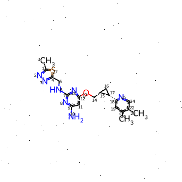 Cc1nnc(CNc2nc(N)cc(OC[C@H]3C[C@@H]3c3cc(C)c(C)cn3)n2)s1